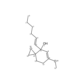 CCCCC=CC1(O)C=C(OC)CCC12CO2